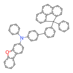 c1ccc(N(c2ccc(-c3cccc(C4(c5ccccc5)c5cccc6ccc7cccc4c7c56)c3)cc2)c2ccc3c(c2)oc2ccccc23)cc1